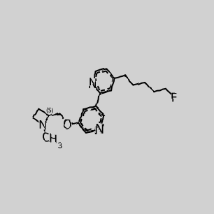 CN1CC[C@H]1COc1cncc(-c2cc(CCCCCF)ccn2)c1